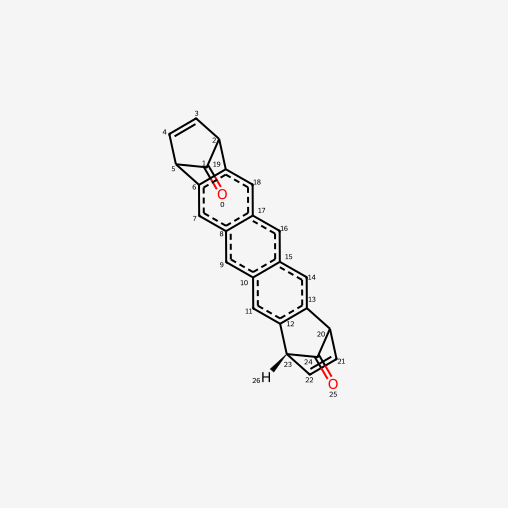 O=C1C2C=CC1c1cc3cc4cc5c(cc4cc3cc12)C1C=C[C@H]5C1=O